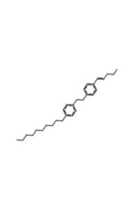 CCCC=Cc1ccc(CCc2ccc(CCCCCCCCCC)cc2)cc1